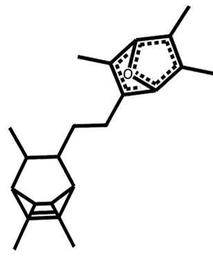 Cc1c(C)c2oc1c(C)c2CCC1C(C)C2C=CC1C(C)C2C